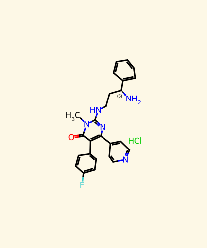 Cl.Cn1c(NCC[C@H](N)c2ccccc2)nc(-c2ccncc2)c(-c2ccc(F)cc2)c1=O